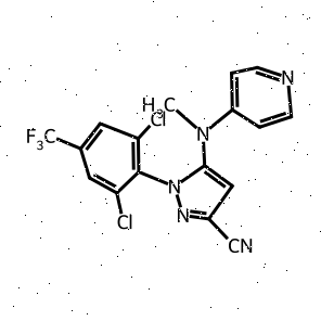 CN(c1ccncc1)c1cc(C#N)nn1-c1c(Cl)cc(C(F)(F)F)cc1Cl